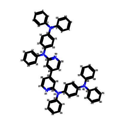 c1ccc(N(c2ccccc2)c2ccc(N(c3ccccc3)c3cc(-c4ccnc(N(c5ccccc5)c5ccc(N(c6ccccc6)c6ccccc6)cc5)c4)ccn3)cc2)cc1